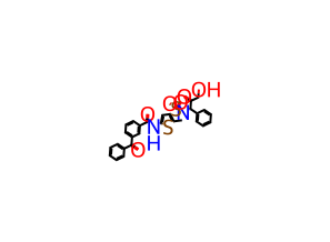 O=C(Nc1cc2c(s1)CN(C(C(=O)CO)c1ccccc1)S2(=O)=O)c1cccc(C(=O)c2ccccc2)c1